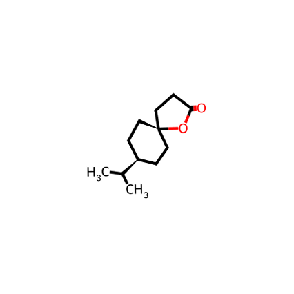 CC(C)[C@H]1CC[C@]2(CCC(=O)O2)CC1